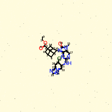 CCOC(=O)C12CC3CC4C(n5c(=O)n(C)c6cnc(Nc7cn8ncnc8cc7Cl)nc65)C(C1)C342